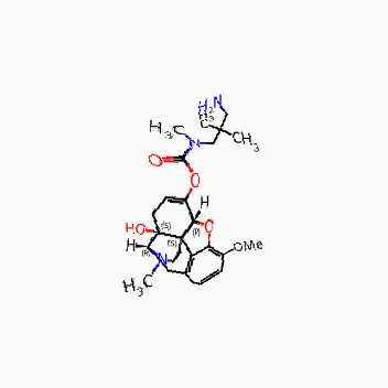 COc1ccc2c3c1O[C@H]1C(OC(=O)N(C)CC(C)(C)CN)=CC[C@@]4(O)[C@@H](C2)N(C)CC[C@]314